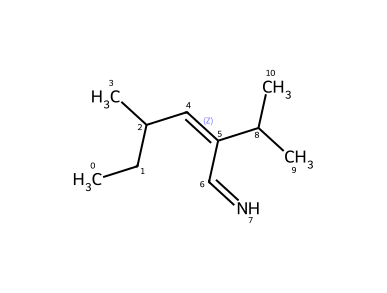 CCC(C)/C=C(\C=N)C(C)C